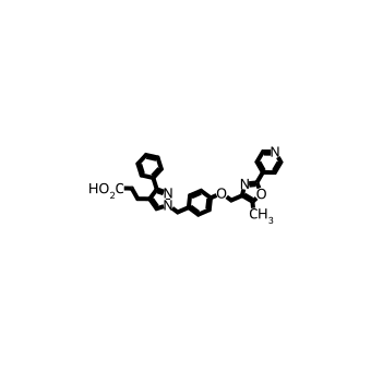 Cc1oc(-c2ccncc2)nc1COc1ccc(Cn2cc(CCC(=O)O)c(-c3ccccc3)n2)cc1